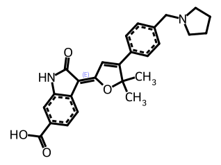 CC1(C)O/C(=C2/C(=O)Nc3cc(C(=O)O)ccc32)C=C1c1ccc(CN2CCCC2)cc1